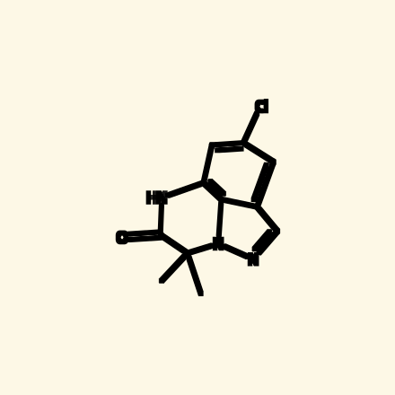 CC1(C)C(=O)Nc2cc(Cl)cc3cnn1c23